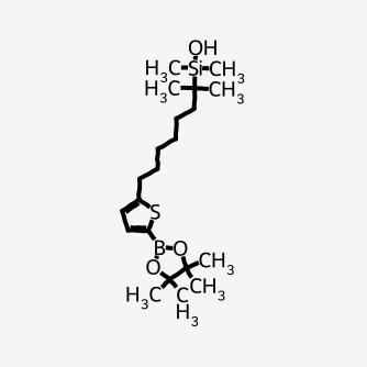 CC1(C)OB(c2ccc(CCCCCCC(C)(C)[Si](C)(C)O)s2)OC1(C)C